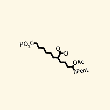 CCCCCC(CCCC(CCCCCCC(=O)O)C(=O)Cl)OC(C)=O